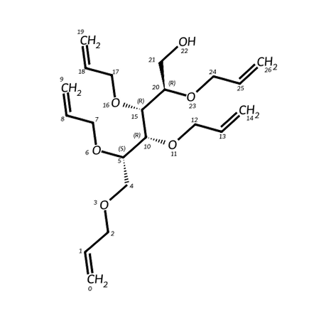 C=CCOC[C@H](OCC=C)[C@@H](OCC=C)[C@H](OCC=C)[C@@H](CO)OCC=C